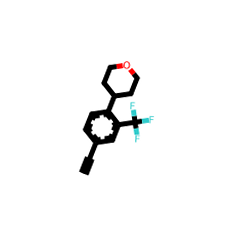 C#Cc1ccc(C2CCOCC2)c(C(F)(F)F)c1